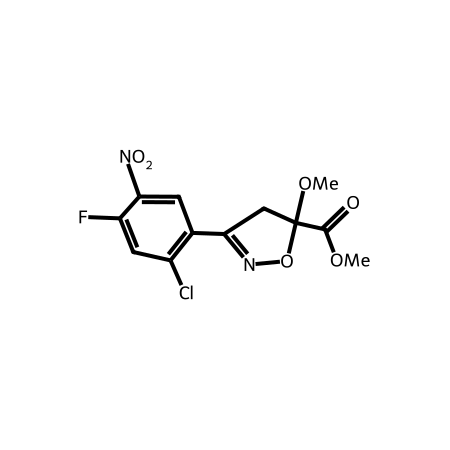 COC(=O)C1(OC)CC(c2cc([N+](=O)[O-])c(F)cc2Cl)=NO1